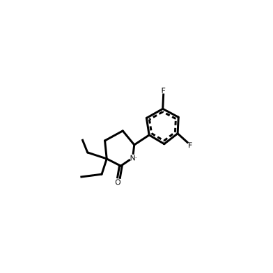 CCC1(CC)CCC(c2cc(F)cc(F)c2)[N]C1=O